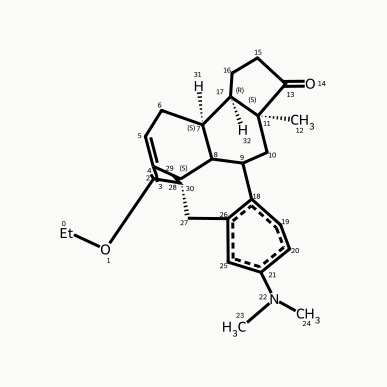 CCOC1=CC2=CC[C@@H]3C4C(C[C@]5(C)C(=O)CC[C@H]35)c3ccc(N(C)C)cc3C[C@]24CC1